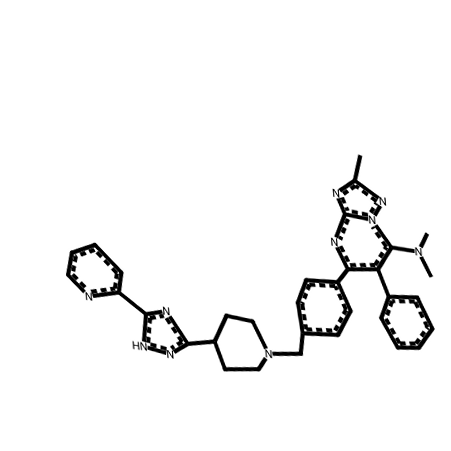 Cc1nc2nc(-c3ccc(CN4CCC(c5n[nH]c(-c6ccccn6)n5)CC4)cc3)c(-c3ccccc3)c(N(C)C)n2n1